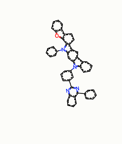 c1ccc(-c2nc(-c3cccc(-n4c5ccccc5c5cc6c7ccc8c9ccccc9oc8c7n(-c7ccccc7)c6cc54)c3)nc3ccccc23)cc1